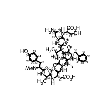 CC[C@H](C)[C@H](NC(=O)[C@H](C)NC(=O)[C@H](CC(=O)O)NC(=O)[C@@H](C)NC(=O)[C@H](Cc1ccc(O)cc1)NC)C(=O)N[C@@H](Cc1ccccc1)C(=O)N[C@H](C(=O)N[C@@H](CC(N)=O)C(=O)N[C@@H](CO)C(=O)O)[C@@H](C)O